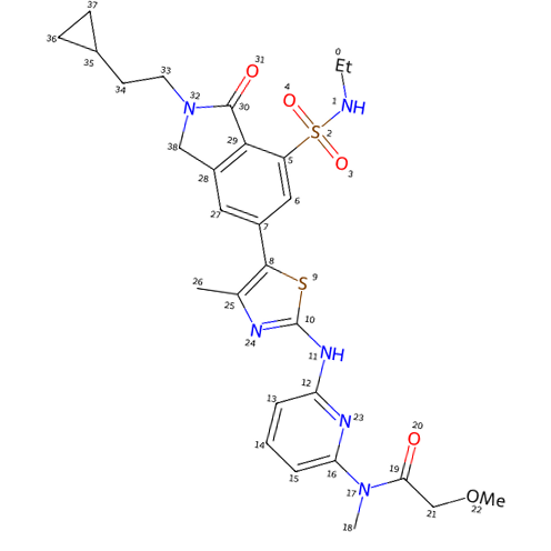 CCNS(=O)(=O)c1cc(-c2sc(Nc3cccc(N(C)C(=O)COC)n3)nc2C)cc2c1C(=O)N(CCC1CC1)C2